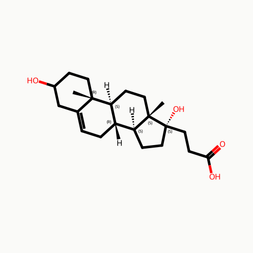 C[C@]12CCC(O)CC1=CC[C@@H]1[C@@H]2CC[C@@]2(C)[C@H]1CC[C@]2(O)CCC(=O)O